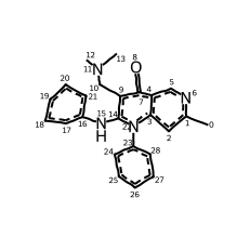 Cc1cc2c(cn1)c(=O)c(CN(C)C)c(Nc1ccccc1)n2-c1ccccc1